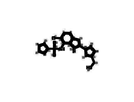 O=S(=O)(Nc1c(Cl)ccc2cc(-c3ncc(CO)s3)[nH]c12)c1cccs1